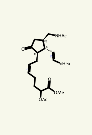 CCCCCC/C=C/[C@H]1[C@H](CNC(C)=O)CC(=O)[C@@H]1C/C=C\CCC(OC(C)=O)C(=O)OC